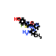 C[C@@H]1C[C@H](N)CN(c2ccncc2NC(=O)c2csc(-c3ccc(O)cc3F)n2)C1